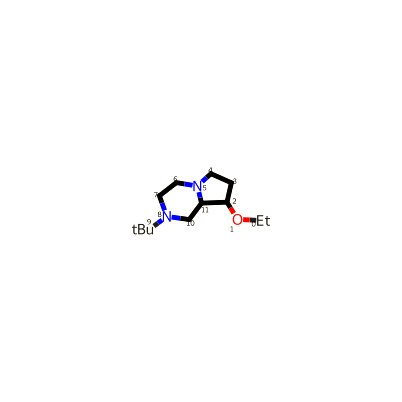 CCOC1CCN2CCN(C(C)(C)C)CC12